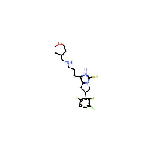 Fc1ccc(F)c(C2Cc3c(CCCNCC4CCOCC4)[nH]c(=S)n3C2)c1F